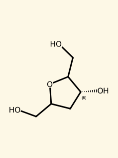 OCC1C[C@@H](O)C(CO)O1